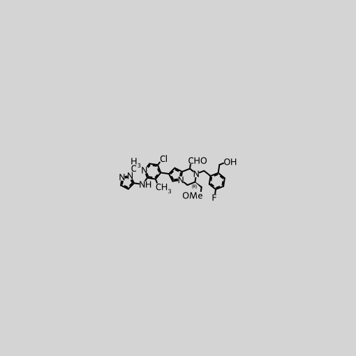 COC[C@H]1Cn2cc(-c3c(Cl)cnc(Nc4ccnn4C)c3C)cc2C(C=O)N1Cc1cc(F)ccc1CO